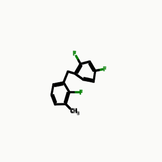 Cc1cccc(Cc2ccc(F)cc2F)c1F